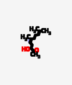 CC(=O)C(O)C/C=C(/C)CCC=C(C)C